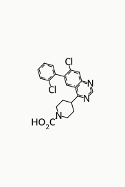 O=C(O)N1CCC(c2ncnc3cc(Cl)c(-c4ccccc4Cl)cc23)CC1